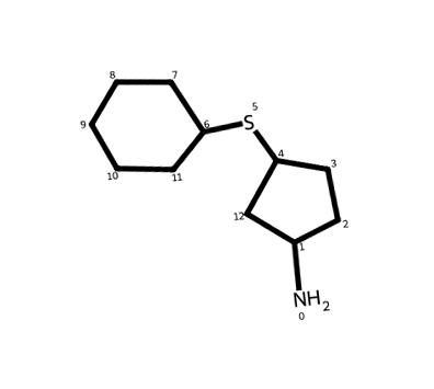 NC1CCC(SC2CCCCC2)C1